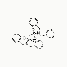 O=S(=O)(CS(=O)(=O)N(Cc1ccccc1)Cc1ccccc1)N(Cc1ccccc1)Cc1ccccc1